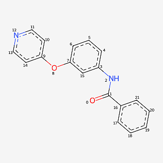 O=C(Nc1cccc(Oc2ccncc2)c1)c1ccccc1